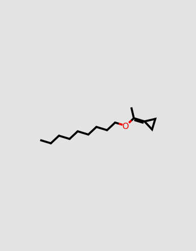 CCCCCCCCCOC(C)=C1CC1